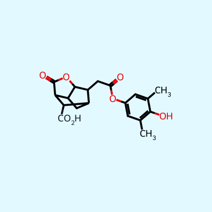 Cc1cc(OC(=O)CC2C3CC4C2OC(=O)C4C3C(=O)O)cc(C)c1O